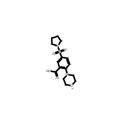 O=C(O)c1cc(S(=O)(=O)N2CCCC2)ccc1N1CCOCC1